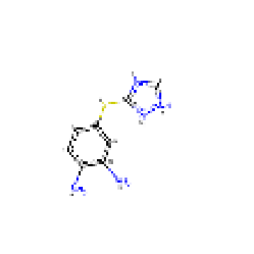 Nc1ccc(Sc2nc[nH]n2)cc1N